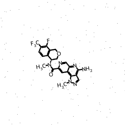 CN(C(=O)c1cc2c(cn1)nc(N)c1cnn(C)c12)[C@@H]1COCc2c1ccc(C(F)(F)F)c2F